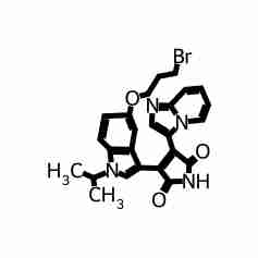 CC(C)n1cc(C2=C(c3cnc4ccccn34)C(=O)NC2=O)c2cc(OCCCBr)ccc21